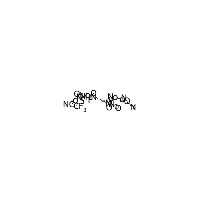 CN(C)CCCOc1ccc(-c2ccc3ncc4c(c3c2)n(C2CCOCC2)c(=O)n4CCCCCCNC(=O)c2ccc(N3C(=S)N(c4ccc(C#N)c(C(F)(F)F)c4)C(=O)C3(C)C)cc2F)cn1